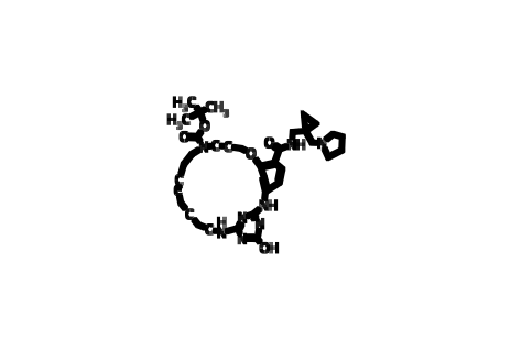 CC(C)(C)OC(=O)N1CCCCCCCCNc2nc(O)nc(n2)Nc2ccc(C(=O)NCC3(CN4CCCC4)CC3)c(c2)OCCC1